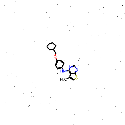 Cc1csc2ncnc(Nc3ccc(OCC4CCCCC4)cc3)c12